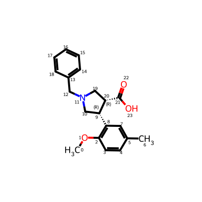 COc1ccc(C)cc1[C@@H]1CN(Cc2ccccc2)C[C@@H]1C(=O)O